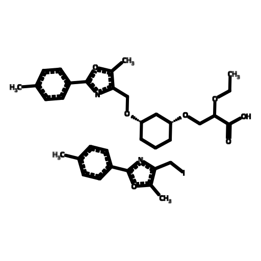 CCOC(CO[C@@H]1CCC[C@H](OCc2nc(-c3ccc(C)cc3)oc2C)C1)C(=O)O.Cc1ccc(-c2nc(CI)c(C)o2)cc1